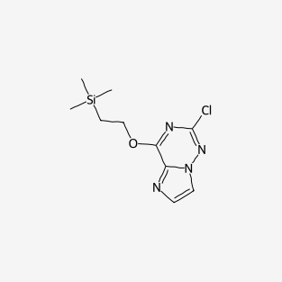 C[Si](C)(C)CCOc1nc(Cl)nn2ccnc12